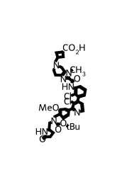 COc1cc(-c2nccc(-c3cccc(NC(=O)c4nc5c(n4C)CN(CC4CC(C(=O)O)C4)CC5)c3Cl)c2Cl)ccc1CN(CC1CCC(=O)N1)C(=O)OC(C)(C)C